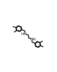 Cc1ccc(CNCCNCc2ccc(C)c(C)c2)cc1C